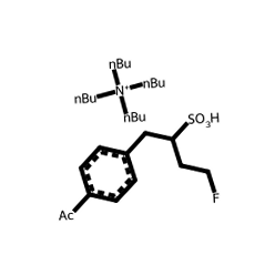 CC(=O)c1ccc(CC(CCF)S(=O)(=O)O)cc1.CCCC[N+](CCCC)(CCCC)CCCC